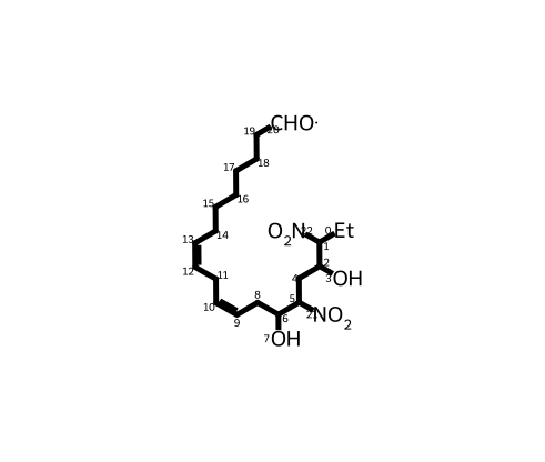 CCC(C(O)CC(C(O)C/C=C\C/C=C\CCCCCC[C]=O)[N+](=O)[O-])[N+](=O)[O-]